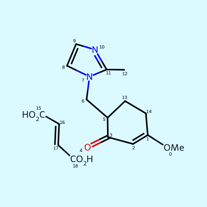 COC1=CC(=O)C(Cn2ccnc2C)CC1.O=C(O)C=CC(=O)O